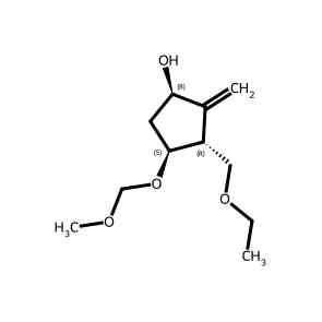 C=C1[C@H](O)C[C@H](OCOC)[C@H]1COCC